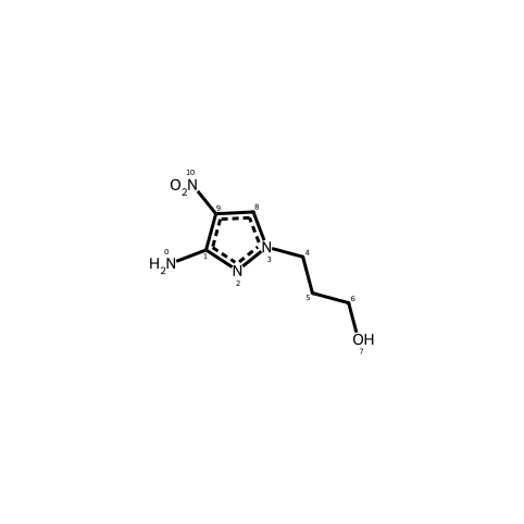 Nc1nn(CCCO)cc1[N+](=O)[O-]